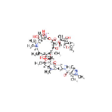 CO[C@]1(C)C[C@H](O[C@H]2[C@H](C)[C@@H](O[C@@H]3O[C@H](C)C[C@H](N(C)C)[C@H]3OCCCNC(=O)c3c(C)nn(C)c3C)C(C)(O)C[C@@H](C)CN(C)[C@H](C)[C@@H](O)[C@](C)(O)[C@@H](I)OC(=O)[C@@H]2C)O[C@@H](C)[C@@H]1O